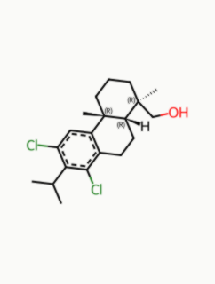 CC(C)c1c(Cl)cc2c(c1Cl)CC[C@H]1[C@](C)(CO)CCC[C@@]21C